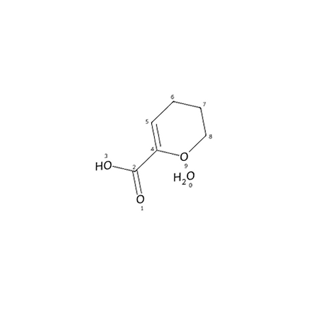 O.O=C(O)C1=CCCCO1